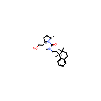 C[C@@H]1CC[C@H](CCO)N1C(=O)N(C)CC[C@@]1(C)c2ccccc2CCC1(C)C